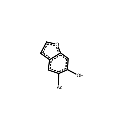 CC(=O)c1cc2ccoc2cc1O